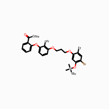 CCCc1c(OCCCOc2cc(O[Si](C)(C)C(C)(C)C)c(Br)cc2CC)cccc1Oc1ccccc1C(=O)OC